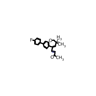 CC(=O)/C=C/C1=CC(C)(C)COc2cc(-c3ccc(F)cc3)ccc21